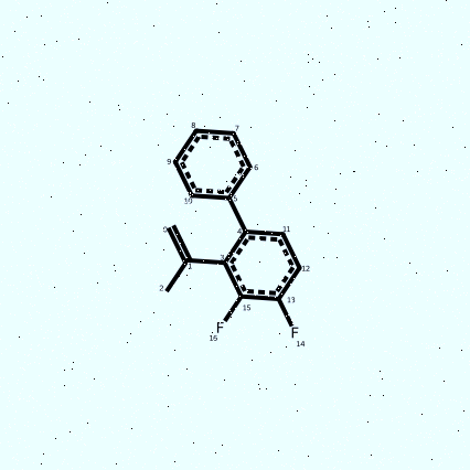 C=C(C)c1c(-c2ccccc2)ccc(F)c1F